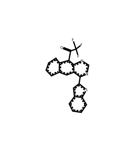 O=C(c1c2ccccc2cc2c(-c3cc4ccccc4s3)ncnc12)C(F)(F)F